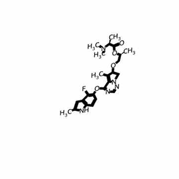 CC1=C2C(Oc3ccc4[nH]c(C)cc4c3F)=NC=NN2CC1OC[C@@H](C)OC(=O)[C@H](C)N(C)C